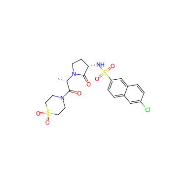 C[C@@H](C(=O)N1CCS(=O)(=O)CC1)N1CC[C@H](NS(=O)(=O)c2ccc3cc(Cl)ccc3c2)C1=O